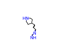 N=C/N=C\C=C\C1CCNCC1